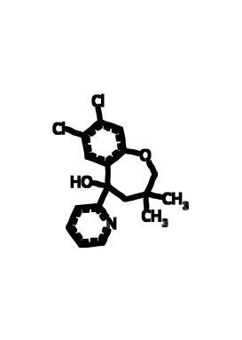 CC1(C)COc2cc(Cl)c(Cl)cc2C(O)(c2ccccn2)C1